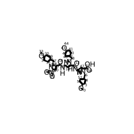 COc1ccc(Cn2nc(NC(=O)c3cc(NC(=O)c4cc([N+](=O)[O-])nn4Cc4ccc(OC)cc4)nn3Cc3ccc(OC)cc3)cc2C(=O)O)cc1